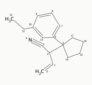 C=CC(C#N)C1(c2cccc(CC)c2)CCCC1